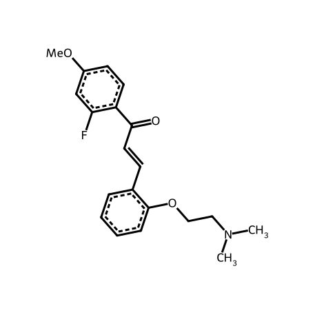 COc1ccc(C(=O)C=Cc2ccccc2OCCN(C)C)c(F)c1